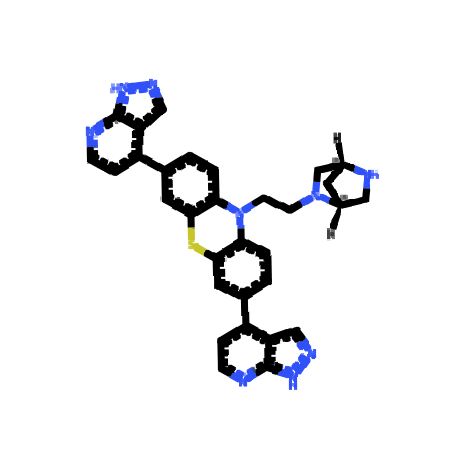 c1cc(-c2ccc3c(c2)Sc2cc(-c4ccnc5[nH]ncc45)ccc2N3CCN2C[C@H]3C[C@@H]2CN3)c2cn[nH]c2n1